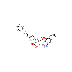 COc1ccc2ncc(Cl)c([C@@H](O)CCC3(CC(=O)O)CCN(CCCSc4ccccc4)CC3)c2c1